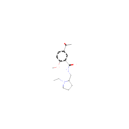 CCN1CCCC1CNC(=O)c1cc(C(C)=O)ccc1OC